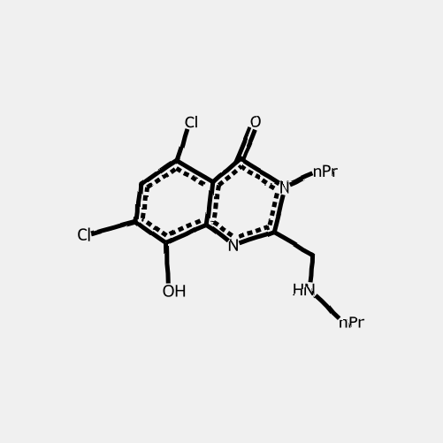 CCCNCc1nc2c(O)c(Cl)cc(Cl)c2c(=O)n1CCC